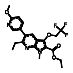 CCOC(=O)c1c(OCC(F)(F)F)c2cc(-c3ccc(OC)nc3)c(CC)nc2n1C